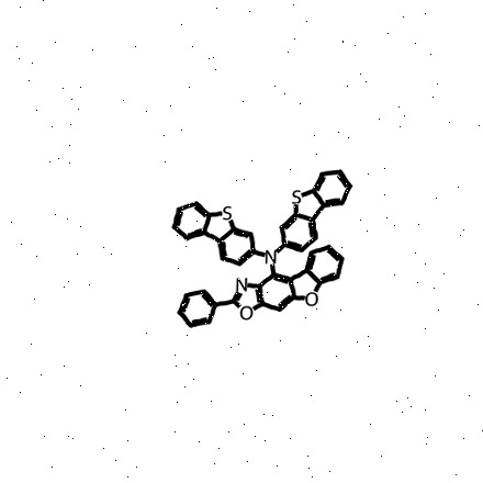 c1ccc(-c2nc3c(N(c4ccc5c(c4)sc4ccccc45)c4ccc5c(c4)sc4ccccc45)c4c(cc3o2)oc2ccccc24)cc1